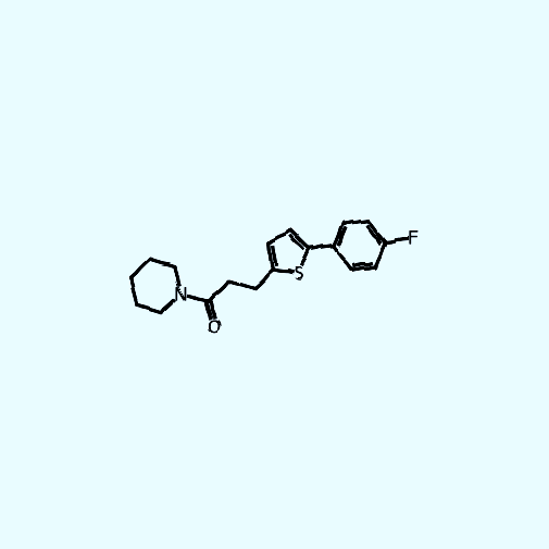 O=C(CCc1ccc(-c2ccc(F)cc2)s1)N1CCCCC1